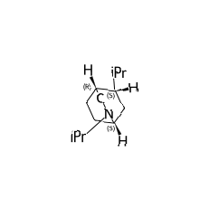 CC(C)[C@@H]1C[C@@H]2CC[C@H]1CN2C(C)C